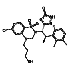 Cc1ccc(F)c([C@@H](C)[C@@H](c2n[nH]c(=O)o2)N2CN(CCCO)c3cc(Cl)ccc3S2(=O)=O)c1C